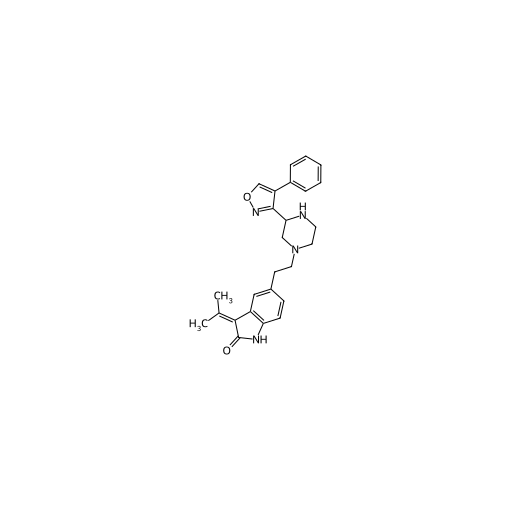 CC(C)=C1C(=O)Nc2ccc(CCN3CCNC(c4nocc4-c4ccccc4)C3)cc21